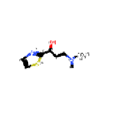 CN(CCC(O)c1nccs1)C(=O)O